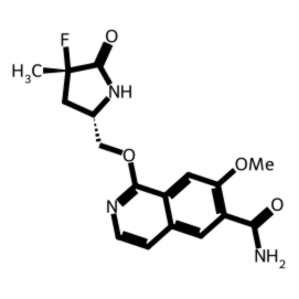 COc1cc2c(OC[C@@H]3C[C@](C)(F)C(=O)N3)nccc2cc1C(N)=O